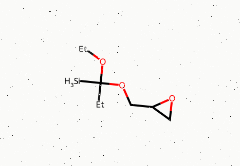 CCOC([SiH3])(CC)OCC1CO1